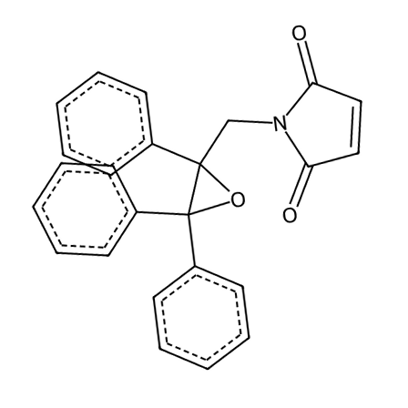 O=C1C=CC(=O)N1CC1(c2ccccc2)OC1(c1ccccc1)c1ccccc1